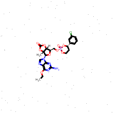 CCOc1nc(N)nc2c1ncn2[C@@H]1O[C@H](CO[P@@]2(=O)OCC[C@@H](c3cccc(Cl)c3)O2)[C@H]2OC(=O)O[C@]21C